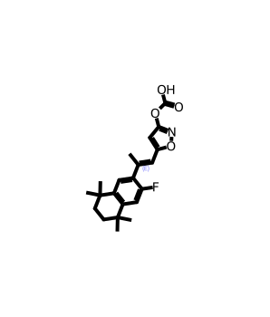 C/C(=C\c1cc(OC(=O)O)no1)c1cc2c(cc1F)C(C)(C)CCC2(C)C